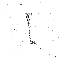 CCCCC=CC=CCCCCCCCCOCCOCCOCCOCCO